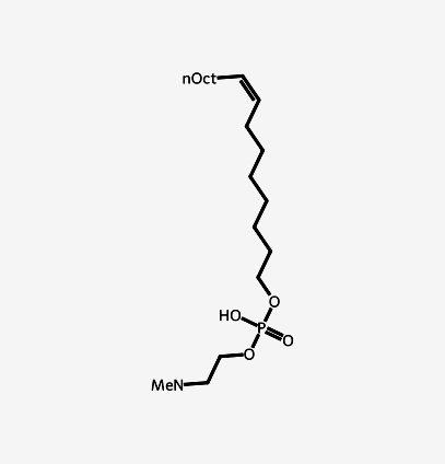 CCCCCCCC/C=C\CCCCCCCOP(=O)(O)OCCNC